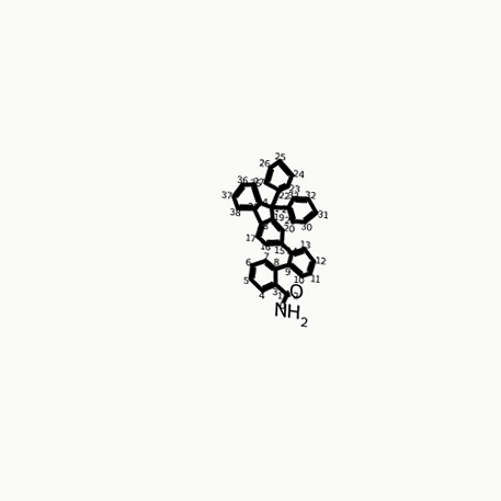 NC(=O)c1ccccc1-c1ccccc1-c1ccc2c(c1)C(c1ccccc1)(c1ccccc1)c1ccccc1-2